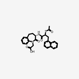 CC(=O)SC(Cc1cccc2ccccc12)C(=O)N[C@H]1CCc2ccccc2N(CC(=O)O)C1=O